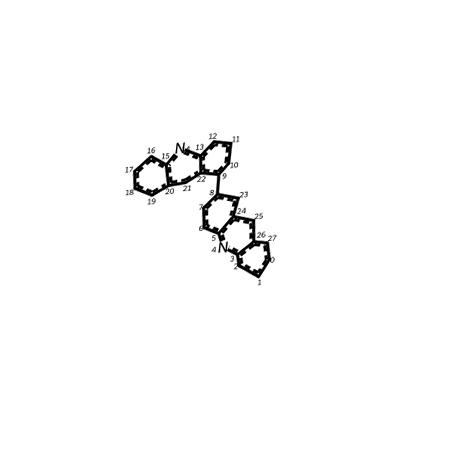 c1ccc2nc3ccc(-c4cccc5nc6ccccc6cc45)cc3cc2c1